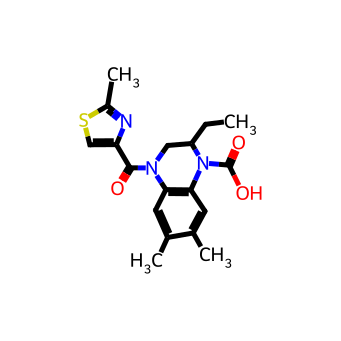 CCC1CN(C(=O)c2csc(C)n2)c2cc(C)c(C)cc2N1C(=O)O